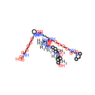 CC(C)C(NC(=O)[C@@H](CCCCCNC(=O)COC1CCCCC/C(NCCOCCOCCOCCOCCC(=O)NCCS(=O)(=O)O)=C\1N)NC(=O)CCOCCOCCOCCOCCNC(=O)CCC(=O)N1Cc2ccccc2C#Cc2ccccc21)C(=O)N[C@@H](C)C(=O)Nc1ccc2c(c1)[C@@]1(C)CCC[C@](C)(C(=O)NC(=O)[C@@]3(C)CCC[C@]4(C)c5cc(O)ccc5CC[C@@H]34)C1CC2